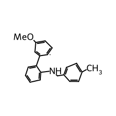 COc1cc[c]c(-c2ccccc2NCc2ccc(C)cc2)c1